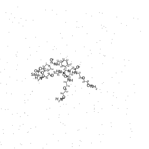 CSP(C)(=O)O[C@H]1CC[C@H](C(=O)NCc2ccc(C[C@H](C(=O)NCCOCCON)N(CC(=O)NCCOCCON)CC(=O)NCCOCCON)cc2)CC1